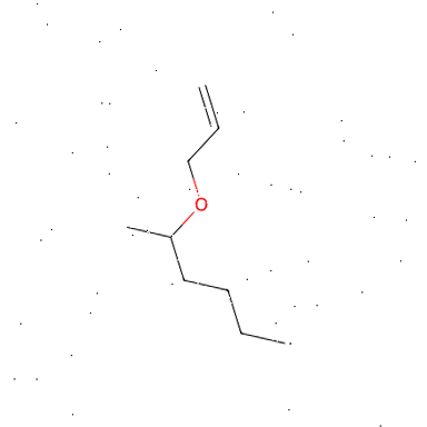 [CH2]CCCC(C)OCC=C